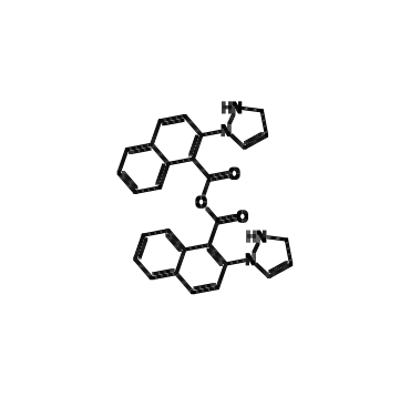 O=C(OC(=O)c1c(N2C=CCN2)ccc2ccccc12)c1c(N2C=CCN2)ccc2ccccc12